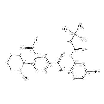 C[C@@H]1CCCCN1c1ccc(C(=O)Nc2ccc(F)cc2CC(=O)OC(C)(C)C)cc1[N+](=O)[O-]